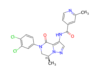 Cc1cc(C(=O)Nc2cnn3c2C(=O)N(c2ccc(Cl)c(Cl)c2)C[C@@H]3C)ccn1